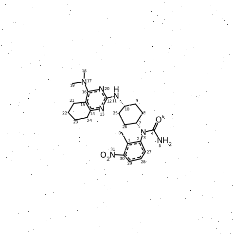 Cc1c(N(C(N)=O)[C@H]2CC[C@@H](Nc3nc4c(c(N(C)C)n3)CCCC4)CC2)cccc1[N+](=O)[O-]